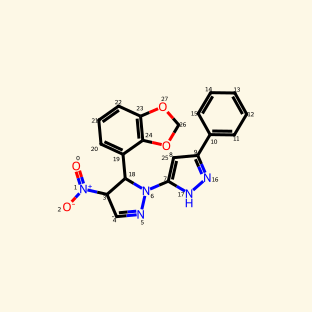 O=[N+]([O-])C1[C]=NN(c2cc(-c3ccccc3)n[nH]2)C1c1cccc2c1OCO2